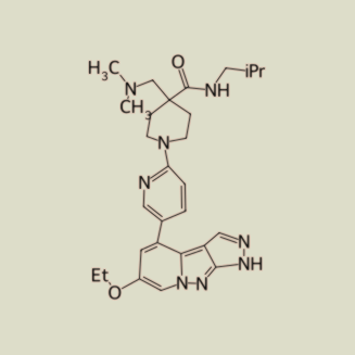 CCOc1cc(-c2ccc(N3CCC(CN(C)C)(C(=O)NCC(C)C)CC3)nc2)c2c3cn[nH]c3nn2c1